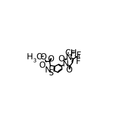 COC(=O)C(=O)c1nsc2ccc(-n3c(=O)cc(C(F)(F)F)n(C)c3=O)cc12